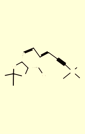 CC1(C)O[C@@H](CO)[C@@H](/C=C\C=C\C#C[Si](C)(C)C)O1